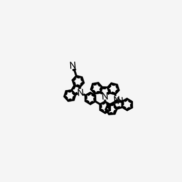 N#Cc1ccc2c(c1)c1ccccc1n2-c1ccc(-c2cccc(C#N)c2-n2c3ccccc3c3cccc(-n4c5ccccc5c5ccccc54)c32)cc1